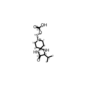 CC(C)C1NC2(CCN(SOC(=O)O)CC2)NC1=O